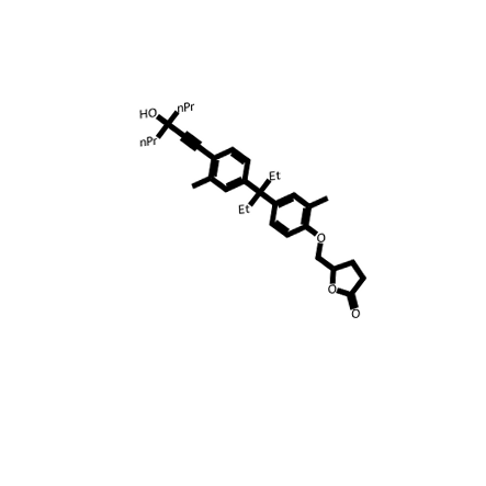 CCCC(O)(C#Cc1ccc(C(CC)(CC)c2ccc(OCC3CCC(=O)O3)c(C)c2)cc1C)CCC